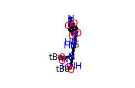 CN(C)CCN1C(=O)c2ccc3c4c2C(CC=C4C(=O)N(CCCNC(=S)NCCCCCN(CCCCNC(=O)OC(C)(C)C)CCCNC(=O)OC(C)(C)C)C3=O)C1=O